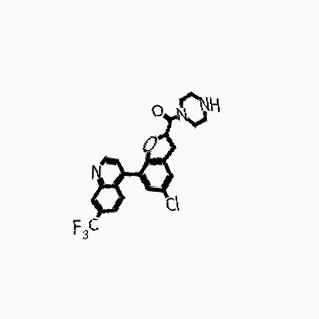 O=C(C1Cc2cc(Cl)cc(-c3ccnc4cc(C(F)(F)F)ccc34)c2O1)N1CCNCC1